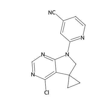 N#Cc1ccnc(N2CC3(CC3)c3c(Cl)ncnc32)c1